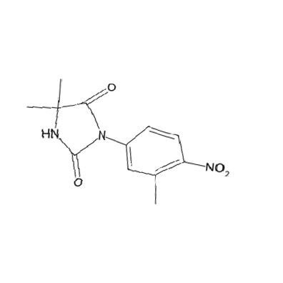 Cc1cc(N2C(=O)NC(C)(C)C2=O)ccc1[N+](=O)[O-]